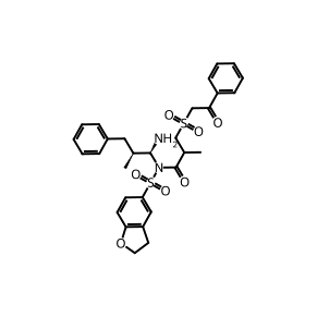 CC(CS(=O)(=O)CC(=O)c1ccccc1)C(=O)N([C@H](N)[C@@H](C)Cc1ccccc1)S(=O)(=O)c1ccc2c(c1)CCO2